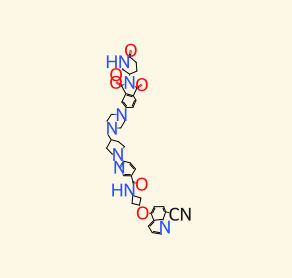 N#Cc1ccc(OC2CC(NC(=O)c3ccc(N4CCC(CN5CCN(c6ccc7c(c6)C(=O)N(C6CCC(=O)NC6=O)C7=O)CC5)CC4)nc3)C2)c2cccnc12